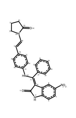 O=C1Nc2ccc([N+](=O)[O-])cc2C1=C(Nc1ccc(C=CN2CCCC2=O)cc1)c1ccccc1